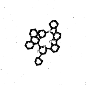 c1ccc(-c2cc(-c3cccc4c3oc3c4ccc4c5ccccc5n(-c5ccccc5)c43)nc(-c3cc4ccccc4c4ccccc34)n2)cc1